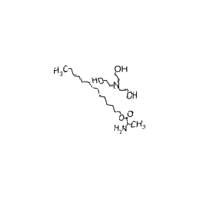 CCCCCCCCCCCCCCOC(=O)C(C)N.OCCN(CCO)CCO